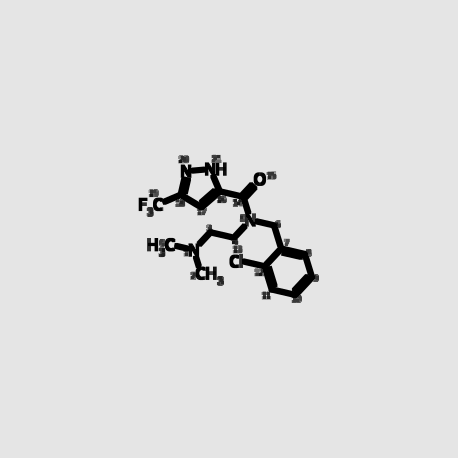 CN(C)CCN(Cc1ccccc1Cl)C(=O)c1cc(C(F)(F)F)n[nH]1